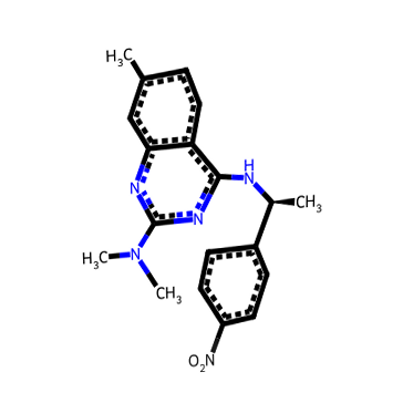 Cc1ccc2c(N[C@@H](C)c3ccc([N+](=O)[O-])cc3)nc(N(C)C)nc2c1